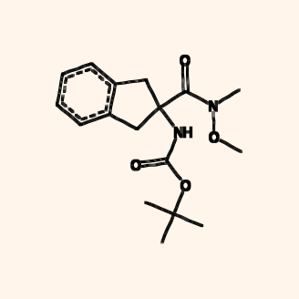 CON(C)C(=O)C1(NC(=O)OC(C)(C)C)Cc2ccccc2C1